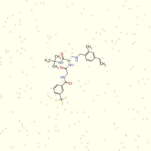 C=Cc1ccc(CNC[C@H](NC(=O)CNC(=O)c2cccc(C(F)(F)F)c2)C(=O)NC(C)(C)C)c(C)c1